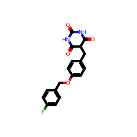 O=C1NC(=O)C(Cc2ccc(OCc3ccc(F)cc3)cc2)C(=O)N1